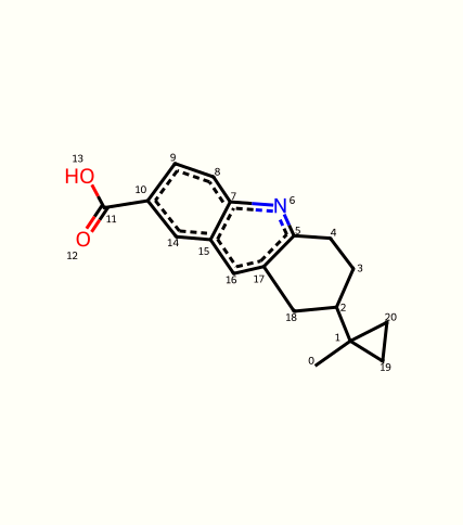 CC1(C2CCc3nc4ccc(C(=O)O)cc4cc3C2)CC1